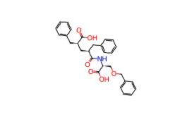 O=C(O)[C@H](Cc1ccccc1)C[C@@H](Cc1ccccc1)C(=O)N[C@@H](COCc1ccccc1)C(=O)O